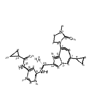 CN1CCN(c2cc(C3CC3)cn3cc([C@@H](N)Nc4cc(NC(=O)C5CC5)ncn4)nc23)C1=O